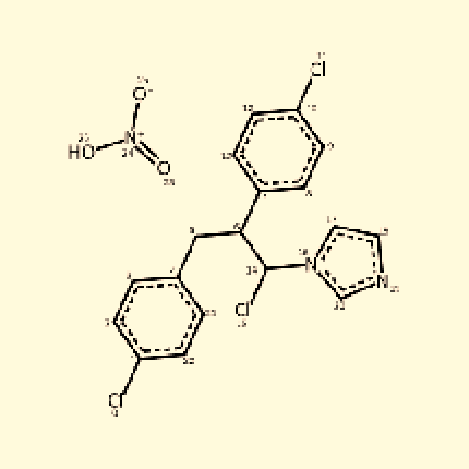 Clc1ccc(CC(c2ccc(Cl)cc2)C(Cl)n2ccnc2)cc1.O=[N+]([O-])O